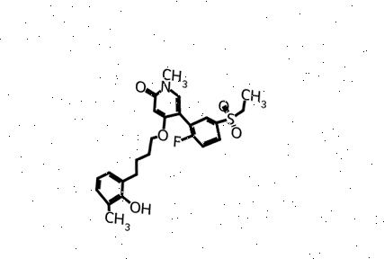 CCS(=O)(=O)c1ccc(F)c(-c2cn(C)c(=O)cc2OCCCCc2cccc(C)c2O)c1